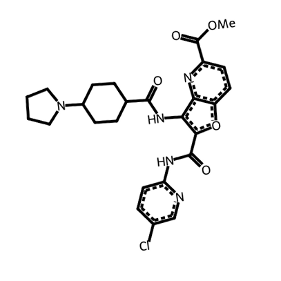 COC(=O)c1ccc2oc(C(=O)Nc3ccc(Cl)cn3)c(NC(=O)C3CCC(N4CCCC4)CC3)c2n1